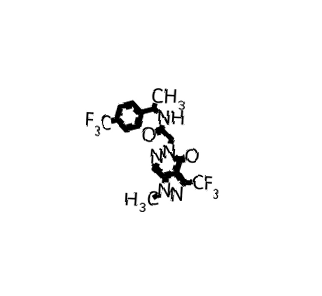 CC(NC(=O)Cn1ncc2c(c(C(F)(F)F)nn2C)c1=O)c1ccc(C(F)(F)F)cc1